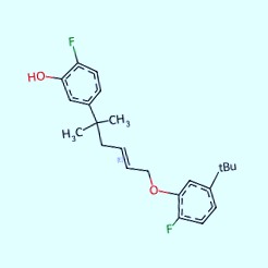 CC(C)(C)c1ccc(F)c(OC/C=C/CC(C)(C)c2ccc(F)c(O)c2)c1